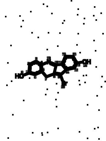 Oc1ccc2c(c1)CC1=C(Br)c3cc(O)ccc3C1=N2